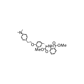 COC(=O)c1ccccc1N[C@@H](Cc1ccc(OCCc2ccc(N(C)C)cc2)cc1)C(=O)OC